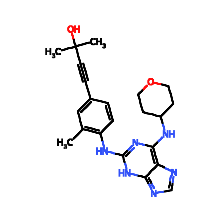 Cc1cc(C#CC(C)(C)O)ccc1Nc1nc(NC2CCOCC2)c2ncnc-2[nH]1